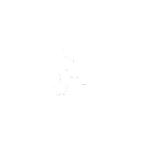 CCCCCC1(Cn2ccnc2)SCC(C)S1